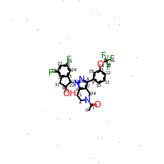 CC(=O)N1CCc2c(c(-c3cccc(OC(F)(F)F)c3)nn2[C@H]2c3cc(F)cc(F)c3C[C@@H]2O)C1